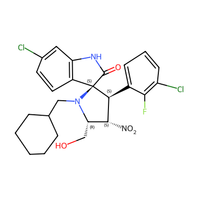 O=C1Nc2cc(Cl)ccc2[C@@]12[C@@H](c1cccc(Cl)c1F)[C@H]([N+](=O)[O-])[C@H](CO)N2CC1CCCCC1